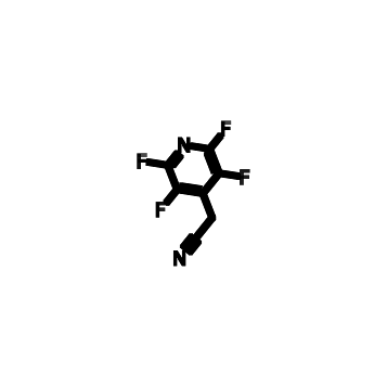 N#CCc1c(F)c(F)nc(F)c1F